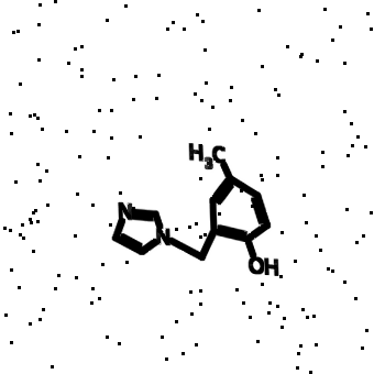 Cc1ccc(O)c(Cn2ccnc2)c1